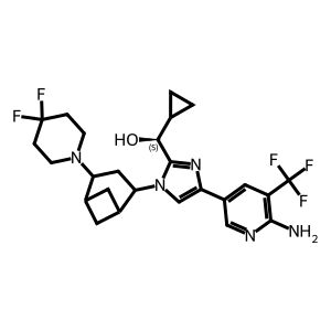 Nc1ncc(-c2cn(C3CC(N4CCC(F)(F)CC4)C4CC3C4)c([C@@H](O)C3CC3)n2)cc1C(F)(F)F